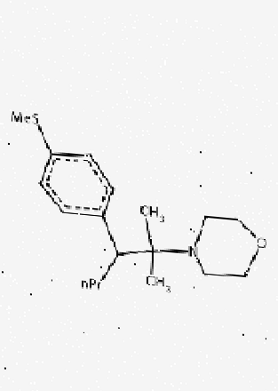 CCCC(c1ccc(SC)cc1)C(C)(C)N1CCOCC1